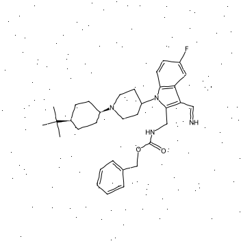 CC(C)(C)[C@H]1CC[C@@H](N2CCC(n3c(CNC(=O)OCc4ccccc4)c(C=N)c4cc(F)ccc43)CC2)CC1